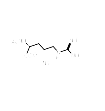 CC(=O)N[C@@H](CCCNC(=N)N)C(=O)[O-].[Na+]